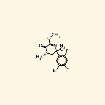 COC1=NC(C)(c2cc(Br)c(F)cc2F)CN(C)C1=O